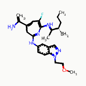 B[C@@H](CCC)C(C)NC1=C(F)C=C(C(=C)N)CC(Nc2ccc3c(cnn3CCOC)c2)=N1